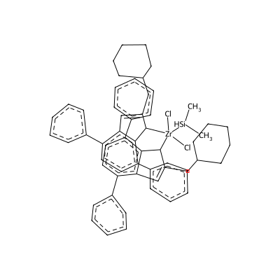 C[SiH](C)[Zr]([Cl])([Cl])([CH]1C(CC2CCCCC2)=Cc2c(-c3ccccc3)ccc(-c3ccccc3)c21)[CH]1C(CC2CCCCC2)=Cc2c(-c3ccccc3)ccc(-c3ccccc3)c21